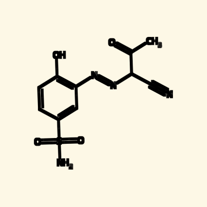 CC(=O)C(C#N)N=Nc1cc(S(N)(=O)=O)ccc1O